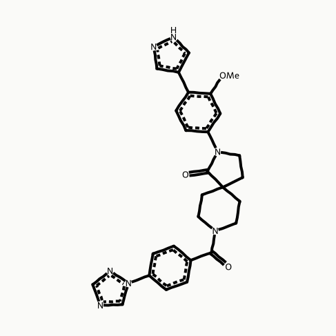 COc1cc(N2CCC3(CCN(C(=O)c4ccc(-n5cncn5)cc4)CC3)C2=O)ccc1-c1cn[nH]c1